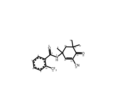 CC1(NC(=O)c2ccccc2C(F)(F)F)C=C(C#N)C(=O)C(C)(C)C1